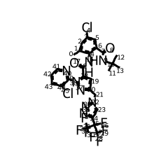 Cc1cc(Cl)cc(C(=O)NC(C)(C)C)c1NC(=O)c1cc(Cn2cc(C(F)(C(F)(F)F)C(F)(F)F)nn2)nn1-c1ncccc1Cl